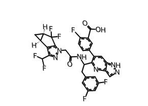 O=C(Cn1nc(C(F)F)c2c1C(F)(F)[C@@H]1C[C@H]21)NC(Cc1cc(F)cc(F)c1)c1nc2cn[nH]c2cc1-c1ccc(F)c(C(=O)O)c1